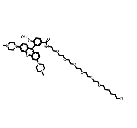 CN1CCN(c2ccc3c(-c4cc(C(=O)NCCOCCOCCOCCOCCOCCOCCCCCCCl)ccc4OC=O)c4ccc(=[N+]5CCN(C)CC5)cc-4oc3c2)CC1